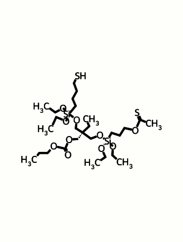 CCCOC(=O)OC[C@@](CC)(CO[Si](CCCCS)(OCC)OCC)CO[Si](CCCOC(C)=S)(OCC)OCC